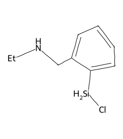 CCNCc1ccccc1[SiH2]Cl